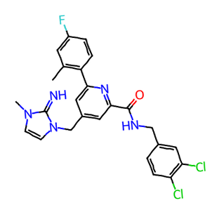 Cc1cc(F)ccc1-c1cc(Cn2ccn(C)c2=N)cc(C(=O)NCc2ccc(Cl)c(Cl)c2)n1